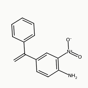 C=C(c1ccccc1)c1ccc(N)c([N+](=O)[O-])c1